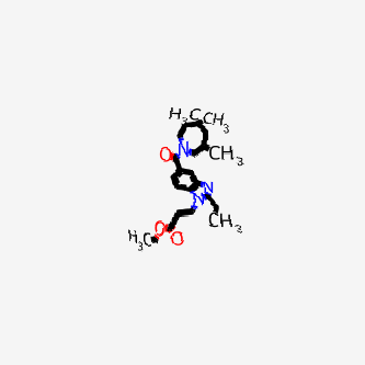 CCOC(=O)CCn1c(CC)nc2cc(C(=O)N3CCC(C)(C)CC(C)C3)ccc21